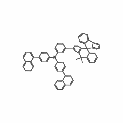 CC1(C)c2ccccc2C2(c3ccccc3-c3ccccc32)c2ccc(-c3cccc(N(c4ccc(-c5cccc6ccccc56)cc4)c4ccc(-c5cccc6ccccc56)cc4)c3)cc21